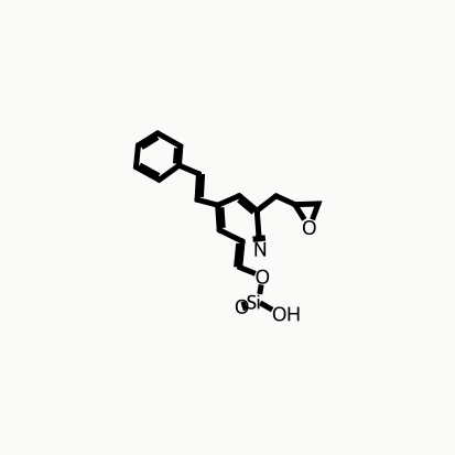 N#CC(=CC(C=Cc1ccccc1)=CC=CO[Si](=O)O)CC1CO1